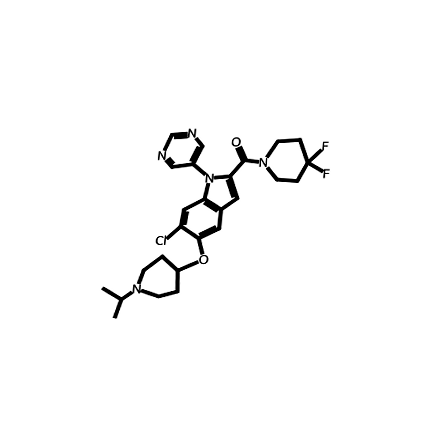 CC(C)N1CCC(Oc2cc3cc(C(=O)N4CCC(F)(F)CC4)n(-c4cncnc4)c3cc2Cl)CC1